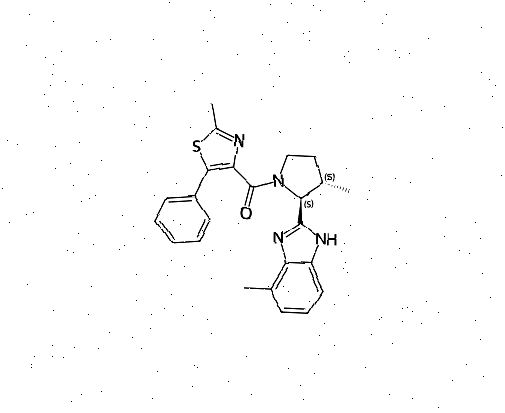 Cc1nc(C(=O)N2CC[C@H](C)[C@H]2c2nc3c(C)cccc3[nH]2)c(-c2ccccc2)s1